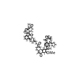 COc1cc(C(=O)N(C)C2CCN(C(=O)CCN3CCN(c4cccc5c4C(=O)N(C4CCC(=O)NC4=O)C5=O)CC3)CC2)ccc1Nc1ncc2c(n1)N(C1CCCC1)CC(F)(F)C(=O)N2C